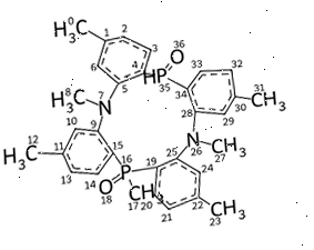 Cc1ccc2c(c1)N(C)c1cc(C)ccc1P(C)(=O)c1ccc(C)cc1N(C)c1cc(C)ccc1[PH]2=O